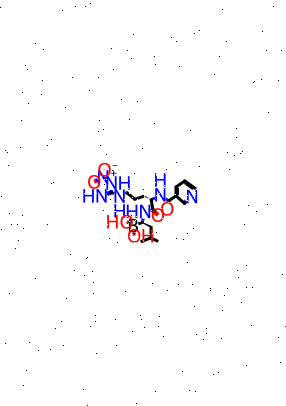 CC(C)C[C@H](NC(=O)[C@H](CCCNC(=N)N[N+](=O)[O-])NC(=O)c1cccnc1)B(O)O